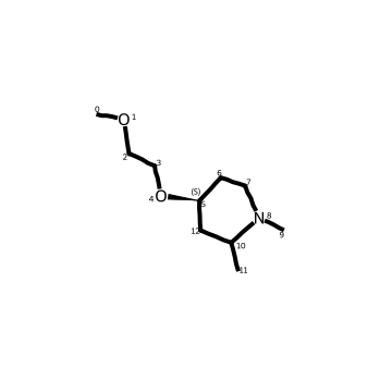 COCCO[C@H]1CCN(C)C(C)C1